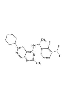 Cc1nc(N[C@H](C)c2cccc(C(F)F)c2F)c2cc(C3CCCCC3)ncc2n1